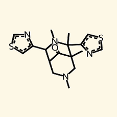 CN1CC2C(=O)C(C)(C1)C(C)(c1cscn1)N(C)C2c1cscn1